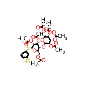 CC(=O)OC[C@H]1O[C@@H](Sc2cccc(S)c2)[C@H](OC(C)=O)[C@@H](OC(C)=O)[C@@H]1O[C@H]1O[C@H](COC(C)=O)[C@@H](OC(C)=O)[C@H](OC(C)=O)[C@H]1OC(C)=O